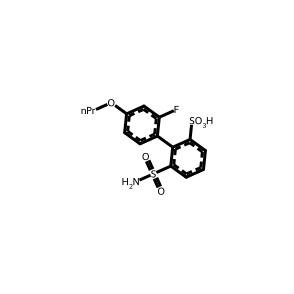 CCCOc1ccc(-c2c(S(N)(=O)=O)cccc2S(=O)(=O)O)c(F)c1